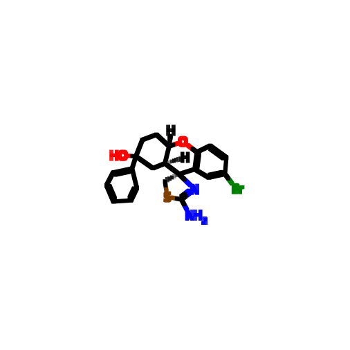 NC1=N[C@]2(CS1)c1cc(Br)ccc1O[C@H]1CCC(O)(c3ccccc3)C[C@@H]12